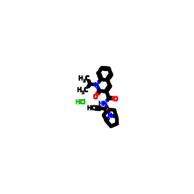 C#CCN1C2CCC1CC(NC(=O)c1cc3ccccc3n(C(C)C)c1=O)C2.Cl